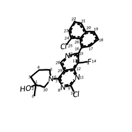 CC1(O)CCCN(c2nc(Cl)nc3c(F)c(-c4cccc5cccc(Cl)c45)ncc23)C1